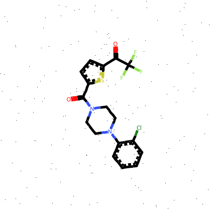 O=C(c1ccc(C(=O)C(F)(F)F)s1)N1CCN(c2ccccc2Cl)CC1